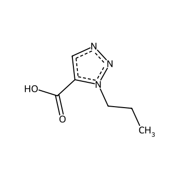 CCCn1nncc1C(=O)O